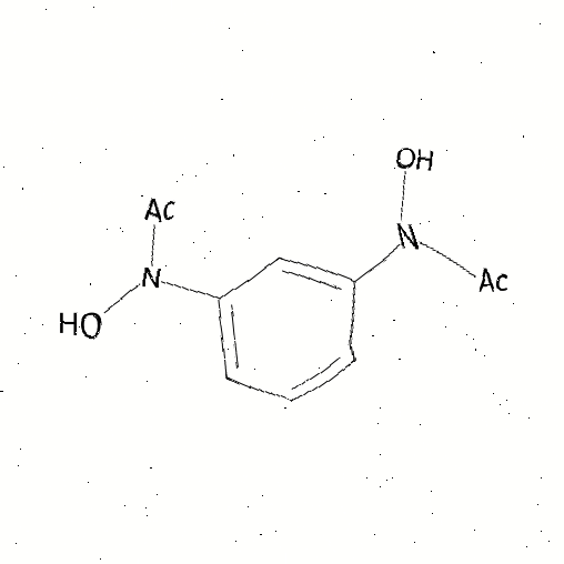 CC(=O)N(O)c1cccc(N(O)C(C)=O)c1